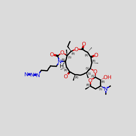 CC[C@H]1OC(=O)[C@H](C)C(=O)[C@H](C)[C@@H](O[C@@H]2O[C@H](C)C[C@H](N(C)C)[C@H]2O)[C@@H](C)C[C@@H](C)C(=O)[C@H](C)[C@H]2N(CCCCN=[N+]=[N-])C(=O)O[C@]12C